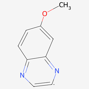 COc1ccc2nc[c]nc2c1